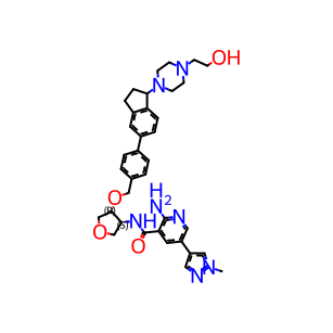 Cn1cc(-c2cnc(N)c(C(=O)N[C@H]3COC[C@@H]3OCc3ccc(-c4ccc5c(c4)CCC5N4CCN(CCO)CC4)cc3)c2)cn1